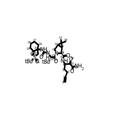 C#CCCC(NC(=O)[C@@H]1C2C(CN1C(=O)[C@@H](NC(=O)NC1(CS(=O)(=O)C(C)(C)C)CCCCC1)C(C)(C)C)C2(C)C)C(=O)C(N)=O